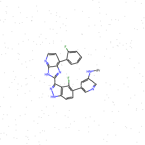 CC(C)Nc1cncc(-c2ccc3[nH]nc(-c4nc5c(-c6ccccc6F)ccnc5[nH]4)c3c2F)c1